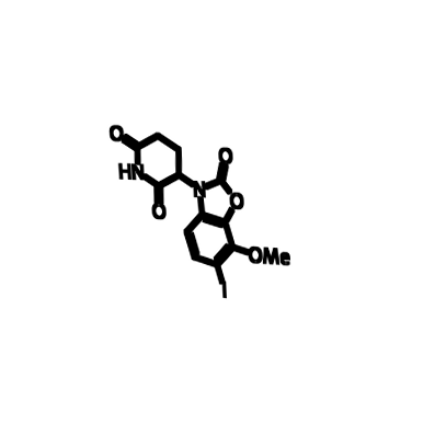 COc1c(I)ccc2c1oc(=O)n2C1CCC(=O)NC1=O